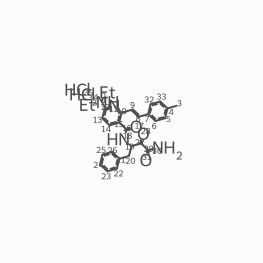 CCNCC.Cc1ccc(C=Cc2ncccc2C(=O)NC(Cc2ccccc2)C(=O)C(N)=O)cc1.Cl.Cl